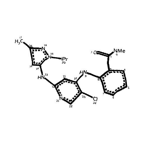 CNC(=O)c1ccccc1Nc1cc(Nc2cc(C)nn2C(C)C)ncc1Cl